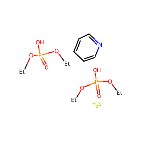 CCOP(=O)(O)OCC.CCOP(=O)(O)OCC.S.c1ccncc1